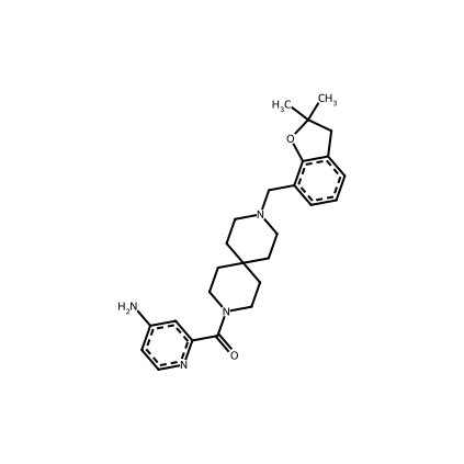 CC1(C)Cc2cccc(CN3CCC4(CC3)CCN(C(=O)c3cc(N)ccn3)CC4)c2O1